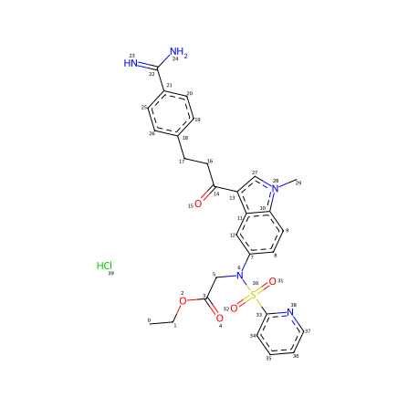 CCOC(=O)CN(c1ccc2c(c1)c(C(=O)CCc1ccc(C(=N)N)cc1)cn2C)S(=O)(=O)c1ccccn1.Cl